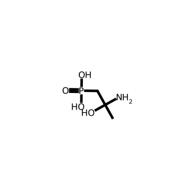 CC(N)(O)CP(=O)(O)O